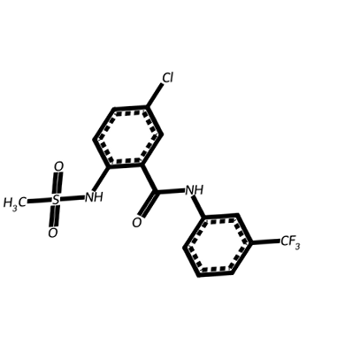 CS(=O)(=O)Nc1ccc(Cl)cc1C(=O)Nc1cccc(C(F)(F)F)c1